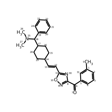 Cc1cccc(C(=O)c2noc(/C=C/C3CCC(C(c4ccccc4)N(C)C)CC3)n2)c1